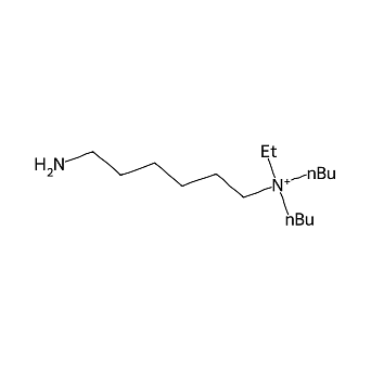 CCCC[N+](CC)(CCCC)CCCCCCN